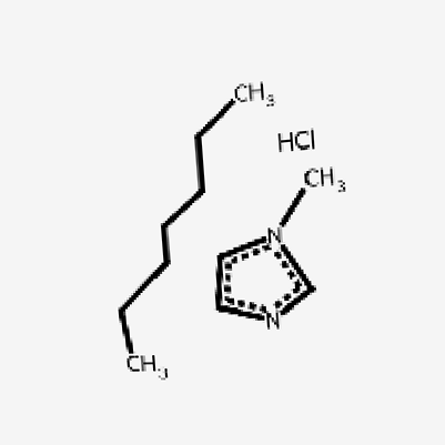 CCCCCCC.Cl.Cn1ccnc1